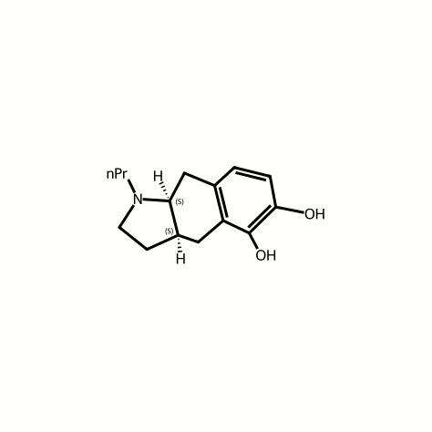 CCCN1CC[C@@H]2Cc3c(ccc(O)c3O)C[C@@H]21